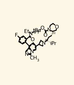 CCN(C(=O)c1cc(F)ccc1-c1cc(C2CN([C@H](CC[C@H]3COCCN3C(=O)OC(C)(C)C)C(C)C)C2)cn2c(C)ncc12)C(C)C